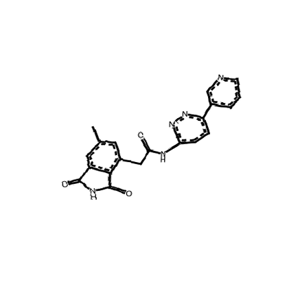 Cc1cc(CC(=O)Nc2ccc(-c3cccnc3)nn2)c2c(c1)C(=O)NC2=O